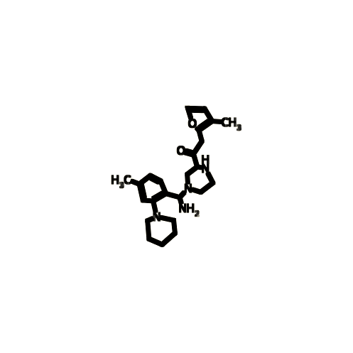 Cc1ccc(C(N)N2CCNC(C(=O)Cc3occc3C)C2)c(N2CCCCC2)c1